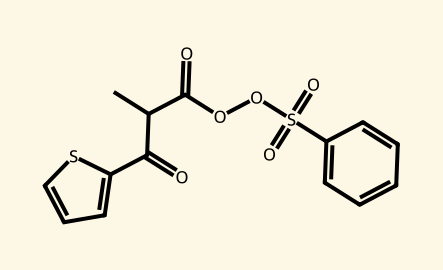 CC(C(=O)OOS(=O)(=O)c1ccccc1)C(=O)c1cccs1